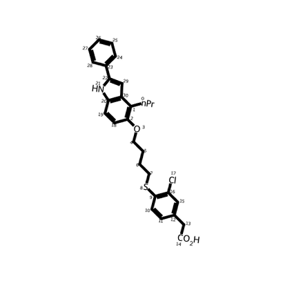 CCCc1c(OCCCCSc2ccc(CC(=O)O)cc2Cl)ccc2[nH]c(-c3ccccc3)cc12